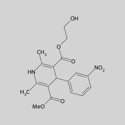 COC(=O)C1=C(C)NC(C)=C(C(=O)OCCO)C1c1cccc([N+](=O)[O-])c1